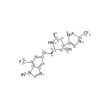 CC(C)n1cnc2cc(OC[C@@H]3C[C@](O)(c4cnc(C(F)(F)F)cn4)C[C@H](C)N3)cc(C(F)(F)F)c21